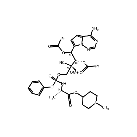 CO[C@](C#N)(COP(=O)(N[C@@H](C)C(=O)OC1CCN(C)CC1)Oc1ccccc1)[C@@H](OC(=O)C(C)C)[C@@H](OC(=O)C(C)C)c1ccc2c(N)ncnn12